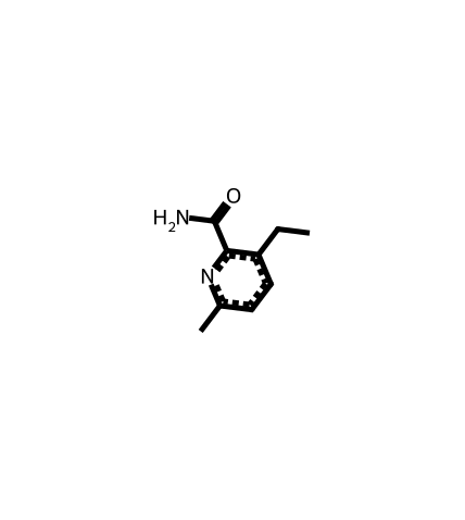 CCc1ccc(C)nc1C(N)=O